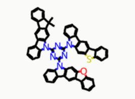 CC1(C)c2ccccc2-c2cc3c4ccccc4n(-c4nc(-n5c6ccccc6c6cc7c(cc65)oc5ccccc57)nc(-n5c6ccccc6c6cc7c(cc65)sc5ccccc57)n4)c3cc21